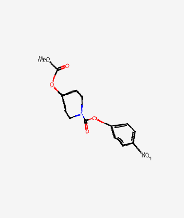 COC(=O)OC1CCN(C(=O)Oc2ccc([N+](=O)[O-])cc2)CC1